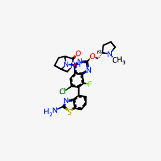 CN1CCC[C@H]1COc1nc(N2C3CCC2C(=O)NC3)c2cc(Cl)c(-c3cccc4sc(N)nc34)c(F)c2n1